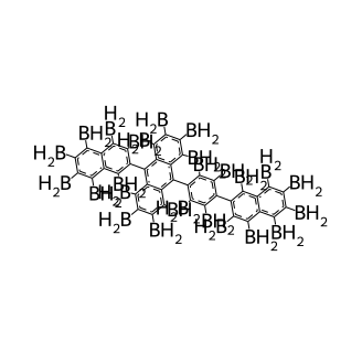 Bc1c(B)c(-c2c3c(B)c(B)c(B)c(B)c3c(-c3c(B)c(B)c4c(B)c(B)c(B)c(B)c4c3B)c3c(B)c(B)c(B)c(B)c23)c(B)c(B)c1-c1c(B)c(B)c2c(B)c(B)c(B)c(B)c2c1B